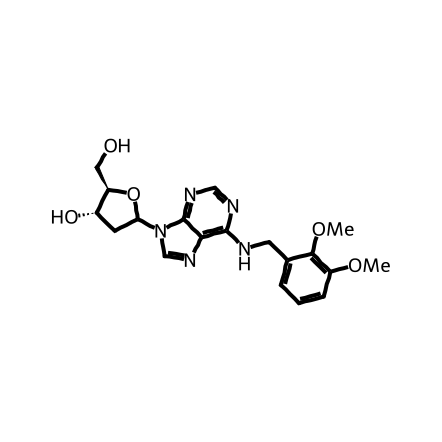 COc1cccc(CNc2ncnc3c2ncn3C2C[C@H](O)[C@@H](CO)O2)c1OC